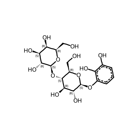 OC[C@H]1O[C@@H](O[C@H]2[C@H](O)[C@@H](O)[C@H](Oc3cccc(O)c3O)O[C@@H]2CO)[C@H](O)[C@@H](O)[C@H]1O